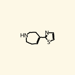 C1=C(c2nccs2)CCNCC1